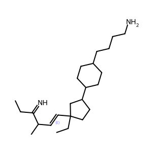 CCC(=N)C(C)/C=C/C1(CC)CCC(C2CCC(CCCCN)CC2)C1